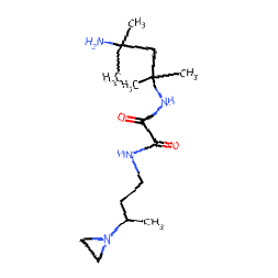 CC(CCNC(=O)C(=O)NC(C)(C)CC(C)(C)N)N1CC1